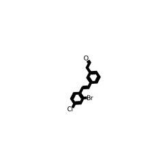 O=CCc1cccc(C=Cc2ccc(Cl)cc2Br)c1